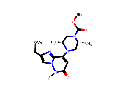 COCc1cn2c(n1)c(N1C[C@@H](C)N(C(=O)OC(C)(C)C)C[C@@H]1C)cc(=O)n2C